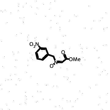 COC(=O)/C=[N+](/[O-])Cc1cccc([N+](=O)[O-])c1